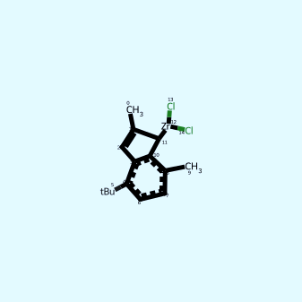 CC1=Cc2c(C(C)(C)C)ccc(C)c2[CH]1[Zr]([Cl])[Cl]